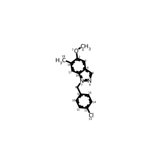 COc1cc2cnn(Cc3ccc(Cl)cc3)c2cc1C